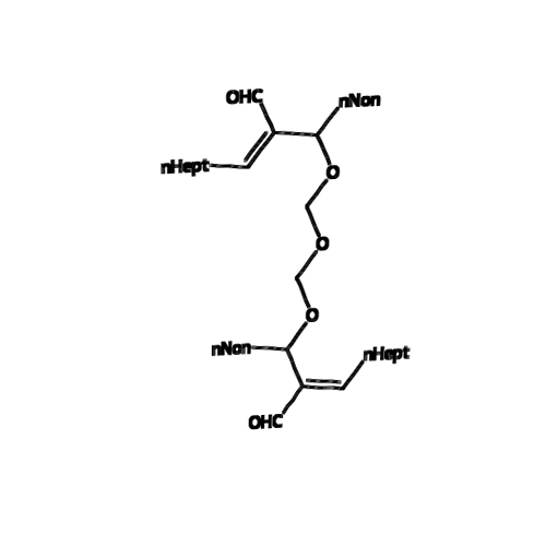 CCCCCCCC=C(C=O)C(CCCCCCCCC)OCOCOC(CCCCCCCCC)C(C=O)=CCCCCCCC